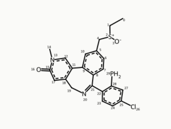 CC[S+]([O-])Cc1ccc2c(c1)-c1cn(C)c(=O)cc1CN=C2c1ccc(Cl)cc1P